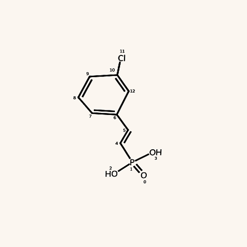 O=P(O)(O)C=Cc1cccc(Cl)c1